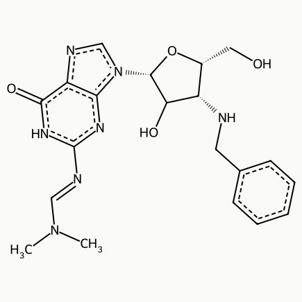 CN(C)C=Nc1nc2c(ncn2[C@@H]2O[C@H](CO)[C@H](NCc3ccccc3)C2O)c(=O)[nH]1